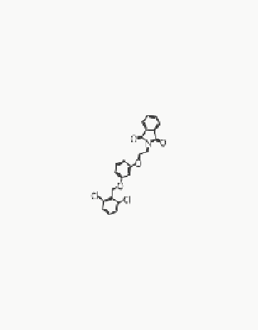 O=C1c2ccccc2C(=O)N1CCOc1cccc(OCc2c(Cl)cccc2Cl)c1